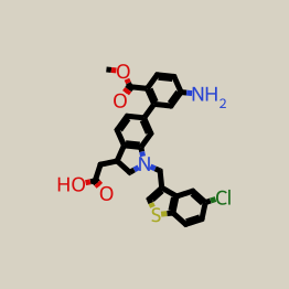 COC(=O)c1ccc(N)cc1-c1ccc2c(c1)N(Cc1csc3ccc(Cl)cc13)CC2CC(=O)O